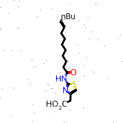 CCCCC=CCCCCCCCC(=O)Nc1nc(CC(=O)O)cs1